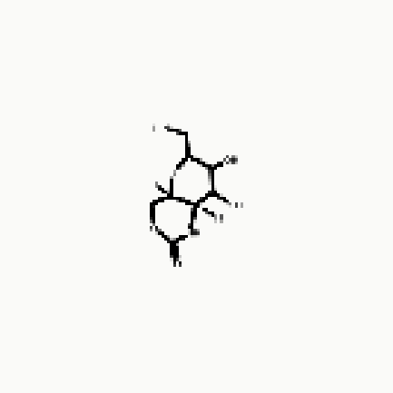 NCC1O[C@H]2COC(=O)N[C@H]2C(O)C1O